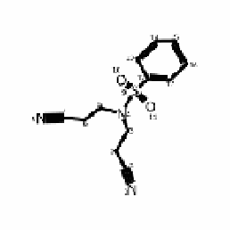 N#CCCN(CCC#N)S(=O)(=O)c1[c]cccc1